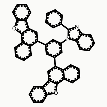 c1ccc(-c2nc3ccccc3n2-c2cc(-c3cc4c5ccccc5oc4c4ccccc34)cc(-c3cc4c5ccccc5oc4c4ccccc34)c2)cc1